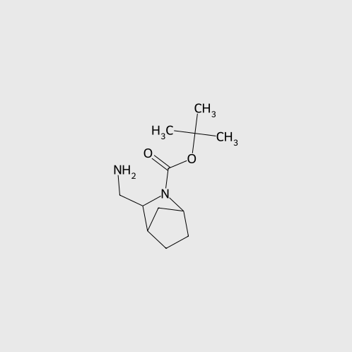 CC(C)(C)OC(=O)N1C2CCC(C2)C1CN